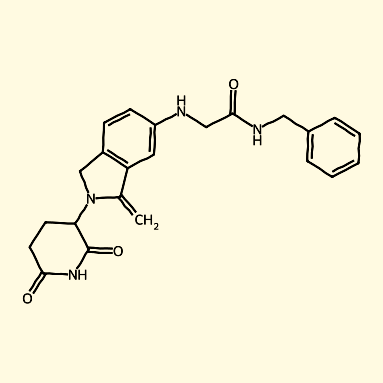 C=C1c2cc(NCC(=O)NCc3ccccc3)ccc2CN1C1CCC(=O)NC1=O